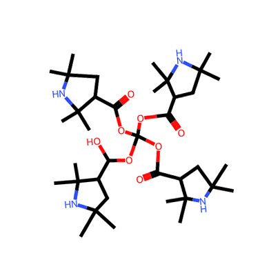 CC1(C)CC(C(=O)OC(OC(=O)C2CC(C)(C)NC2(C)C)(OC(=O)C2CC(C)(C)NC2(C)C)OC(O)C2CC(C)(C)NC2(C)C)C(C)(C)N1